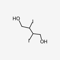 OCC(I)C(I)CO